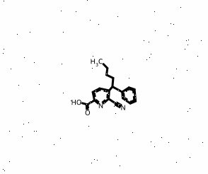 CCCCC(c1ccccc1)c1ccc(C(=O)O)nc1C#N